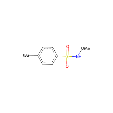 CONS(=O)(=O)c1ccc(C(C)(C)C)cc1